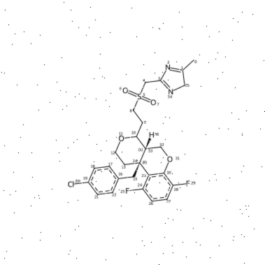 CC1=NC(CS(=O)(=O)CCC2OCC[C@@]3(Cc4ccc(Cl)cc4)c4c(F)ccc(F)c4OC[C@@H]23)=NC1